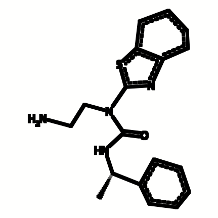 C[C@H](NC(=O)N(CCN)c1nc2ccccc2s1)c1ccccc1